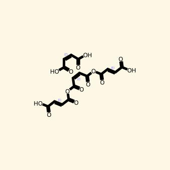 O=C(O)/C=C/C(=O)OC(=O)/C=C\C(=O)OC(=O)/C=C/C(=O)O.O=C(O)/C=C\C(=O)O